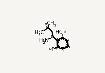 CC(C)C[C@H](N)c1ccccc1F.Cl